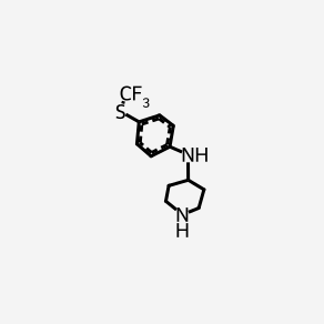 FC(F)(F)Sc1ccc(NC2CCNCC2)cc1